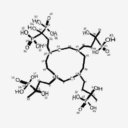 CC(O)(CCN1CCN(CCC(C)(O)P(=O)(O)O)CCN(CCC(O)(P(=O)(O)O)P(=O)(O)O)CCN(CCC(C)(O)P(=O)(O)O)CC1)P(=O)(O)O